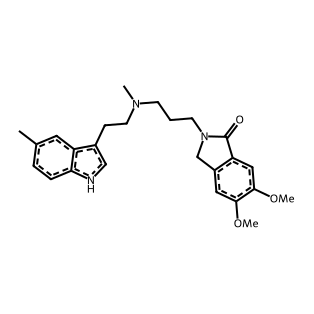 COc1cc2c(cc1OC)C(=O)N(CCCN(C)CCc1c[nH]c3ccc(C)cc13)C2